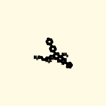 C=C/C=C\C=C(/C)C[C@H](Nc1nc(N)n2nc(-c3ccco3)nc2n1)C(=O)N1CCC(N2CCOCC2)CC1